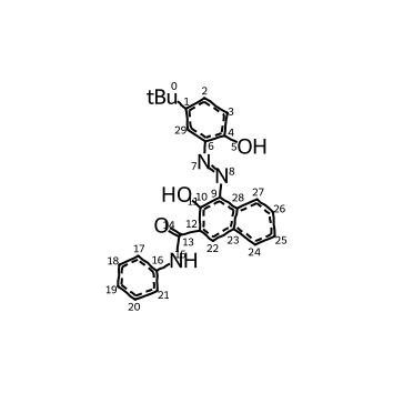 CC(C)(C)c1ccc(O)c(N=Nc2c(O)c(C(=O)Nc3ccccc3)cc3ccccc23)c1